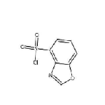 O=S(=O)(Cl)c1cccc2ocnc12